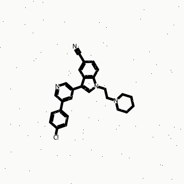 N#Cc1ccc2c(c1)c(-c1cncc(-c3ccc(Cl)cc3)c1)cn2CCN1CCCCC1